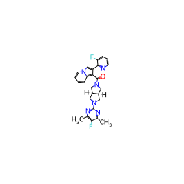 Cc1nc(N2C[C@H]3CN(C(=O)c4c(-c5ncccc5F)cn5ccccc45)C[C@H]3C2)nc(C)c1F